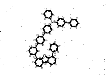 c1ccc(-c2ccc(N(c3ccccc3)c3ccc(-c4ccc(-c5cccc(-c6cccc7c6oc6c(-c8ccccc8)cccc67)c5)cc4)cc3)cc2)cc1